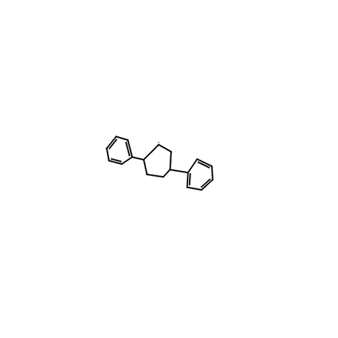 [CH]1CC(c2ccccc2)CCC1c1ccccc1